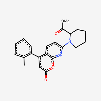 COC(=O)C1CCCCN1c1ccc2c(-c3ccccc3C)cc(=O)oc2n1